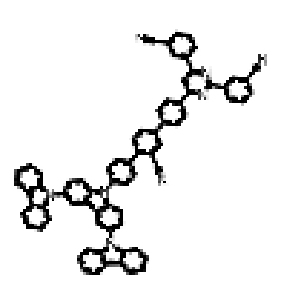 N#Cc1cccc(-c2cc(-c3ccc(-c4ccc(-c5ccc(-n6c7ccc(-n8c9ccccc9c9ccccc98)cc7c7cc(-n8c9ccccc9c9ccccc98)ccc76)cc5)c(C#N)c4)cc3)nc(-c3cccc(C#N)c3)n2)c1